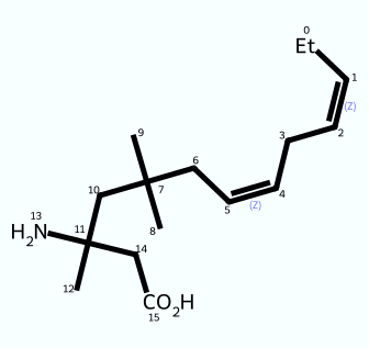 CC/C=C\C/C=C\CC(C)(C)CC(C)(N)CC(=O)O